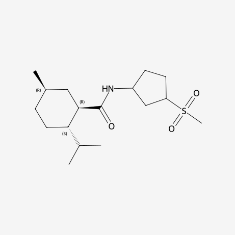 CC(C)[C@@H]1CC[C@@H](C)C[C@H]1C(=O)NC1CCC(S(C)(=O)=O)C1